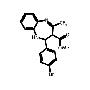 COC(=O)C1C(C(F)(F)F)=Nc2ccccc2NC1c1ccc(Br)cc1